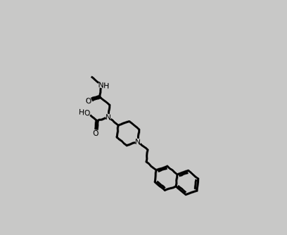 CNC(=O)CN(C(=O)O)C1CCN(CCc2ccc3ccccc3c2)CC1